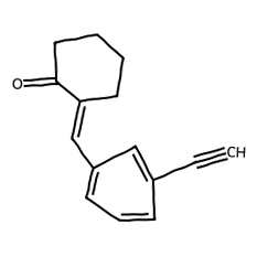 C#Cc1cccc(C=C2CCCCC2=O)c1